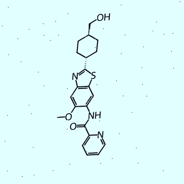 COc1cc2nc([C@H]3CC[C@H](CO)CC3)sc2cc1NC(=O)c1ccccn1